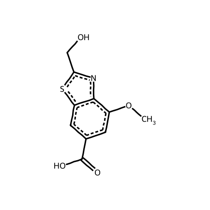 COc1cc(C(=O)O)cc2sc(CO)nc12